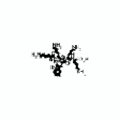 NCCCC[C@H](NC(=O)[C@H](CCCCN)NC(=O)[C@H](Cc1c[nH]c2ccccc12)NC(=O)[C@H](CCCCN)NC(=O)[C@@H](N)CCCCN)C(=O)O